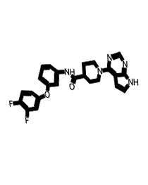 O=C(Nc1cccc(Oc2ccc(F)c(F)c2)c1)C1CCN(c2ncnc3[nH]ccc23)CC1